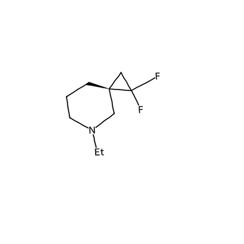 CCN1CCC[C@@]2(C1)CC2(F)F